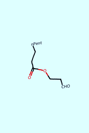 CCCCCCCC(=O)OCCC=O